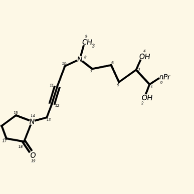 CCCC(O)C(O)CCCN(C)CC#CCN1CC[CH]C1=O